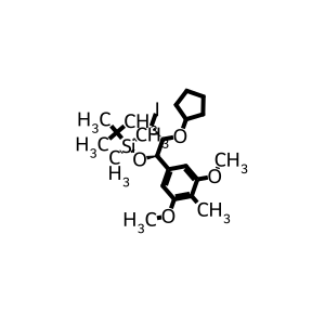 COc1cc([C@@H](O[Si](C)(C)C(C)(C)C)[C@H](CI)OC2CCCC2)cc(OC)c1C